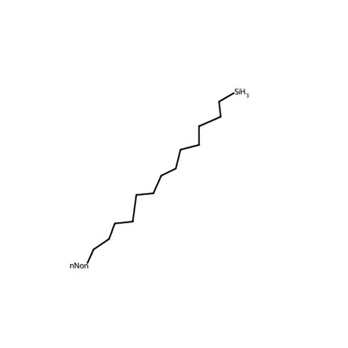 CCCCCCCCCCCCCCCCCCCCCC[SiH3]